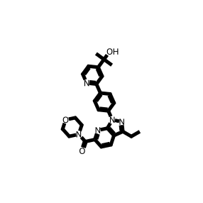 CCc1nn(-c2ccc(-c3cc(C(C)(C)O)ccn3)cc2)c2nc(C(=O)N3CCOCC3)ccc12